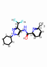 O=C(Nc1cn(C2CCCCC2)nc1C(F)F)c1cccc(C(F)(F)F)n1